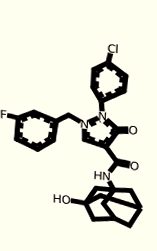 O=C(NC12CC3CC(CC(O)(C3)C1)C2)c1cn(Cc2cccc(F)c2)n(-c2ccc(Cl)cc2)c1=O